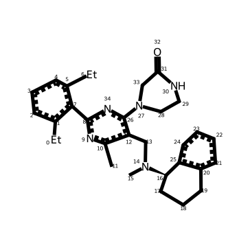 CCc1cccc(CC)c1-c1nc(C)c(CN(C)[C@@H]2CCCc3ccccc32)c(N2CCNC(=O)C2)n1